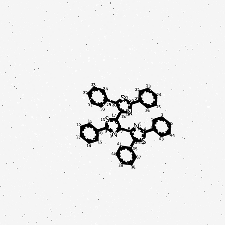 c1ccc(-c2nc(-c3nc(-c4ccccc4)sc3-c3nc(-c4ccccc4)sc3-c3ccccc3)c(-c3ccccc3)s2)cc1